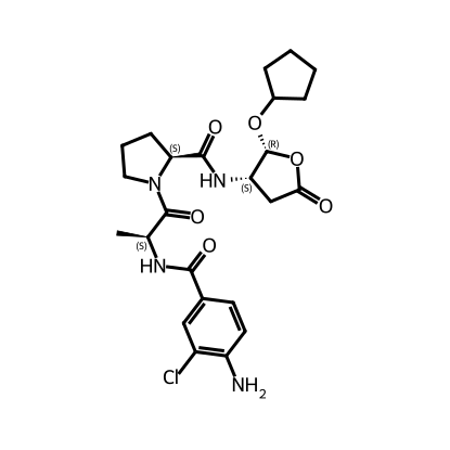 C[C@H](NC(=O)c1ccc(N)c(Cl)c1)C(=O)N1CCC[C@H]1C(=O)N[C@H]1CC(=O)O[C@H]1OC1CCCC1